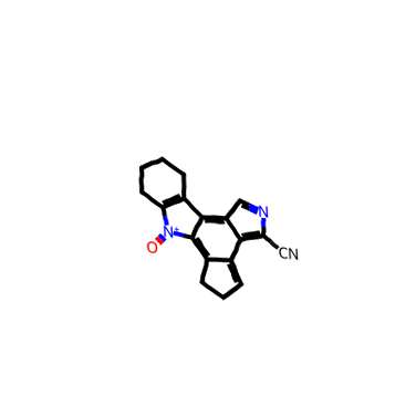 N#CC1=c2c(c3c(c4c2=CCC4)[N+](=O)C2=C3CCCC2)C=N1